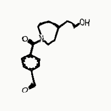 O=Cc1ccc(C(=O)N2CCC(CCO)CC2)cc1